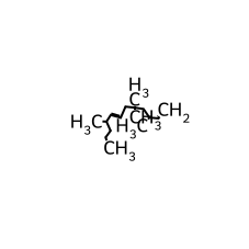 C=CC(C)CC(C)(C)CC=CC(C)CCC